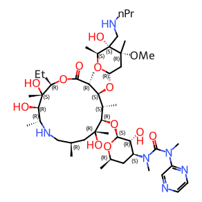 CCCNC[C@]1(O)[C@H](C)O[C@@H](O[C@H]2[C@H](C)[C@@H](O[C@@H]3O[C@H](C)C[C@H](N(C)C(=O)N(C)c4cnccn4)[C@H]3O)[C@](C)(O)C[C@@H](C)CN[C@H](C)[C@@H](O)[C@](C)(O)[C@@H](CC)OC(=O)[C@@H]2C)C[C@@]1(C)OC